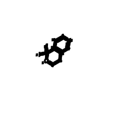 CC1(I)OCCc2cnccc21